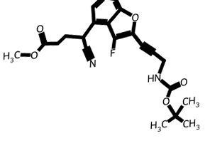 COC(=O)CCC(C#N)c1cccc2oc(C#CCNC(=O)OC(C)(C)C)c(F)c12